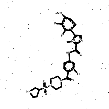 COc1ccc(-c2cnc(C(=O)Nc3ccc(C(=O)N4CCN(S(=O)(=O)C5CCNC5)CC4)c(Cl)c3)n2C)c(F)c1F